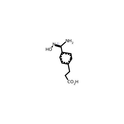 N/C(=N/O)c1ccc(CCC(=O)O)cc1